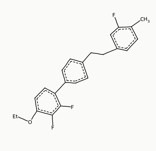 CCOc1ccc(-c2ccc(CCc3ccc(C)c(F)c3)cc2)c(F)c1F